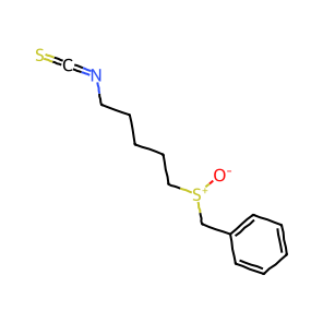 [O-][S+](CCCCCN=C=S)Cc1ccccc1